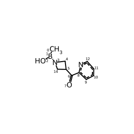 CB(O)N1CC(C(=O)c2ccccn2)C1